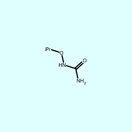 CC(C)ONC(N)=O